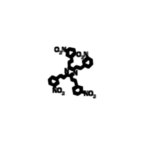 O=[N+]([O-])c1cccc(C=Cc2nc(C=Cc3cccc([N+](=O)[O-])c3)c(C=Cc3cccc([N+](=O)[O-])c3)nc2C=Cc2cccc([N+](=O)[O-])c2)c1